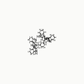 NC(Cc1nc2ccccc2[nH]1)(Cc1nc2ccccc2[nH]1)c1cccc(C(N)(Cc2nc3ccccc3[nH]2)Cc2nc3ccccc3[nH]2)c1